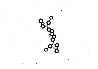 CC1(C)c2c(ccc3cc(N(c4ccc(C5CCCC5)cc4)c4cccc5c4oc4ccccc45)ccc23)-c2ccc3cc(N(c4ccc(C5CCCC5)cc4)c4cccc5c4oc4ccccc45)ccc3c21